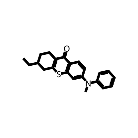 CCC1CCc2c(sc3cc(N(C)c4ccccc4)ccc3c2=O)C1